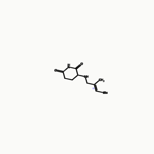 C/C(=C\C(C)(C)C)CNC1CCC(=O)NC1=O